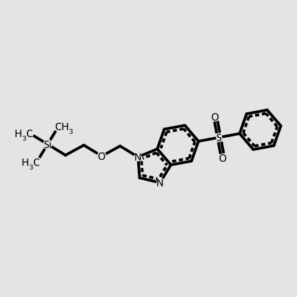 C[Si](C)(C)CCOCn1cnc2cc(S(=O)(=O)c3ccccc3)ccc21